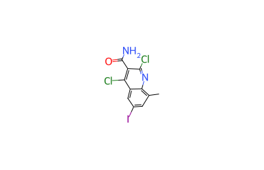 Cc1cc(I)cc2c(Cl)c(C(N)=O)c(Cl)nc12